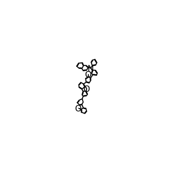 C1=CC(c2ccc3oc4c(-c5ccc6c(c5)oc5c(N(c7ccccc7)c7ccc8ccccc8c7)cccc56)cccc4c3c2)Cc2c1oc1ccccc21